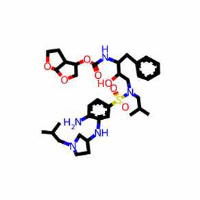 CC(C)CN1CCC(Nc2cc(S(=O)(=O)N(CC(C)C)CC(O)C(Cc3ccccc3)NC(=O)OC3COC4OCCC34)ccc2N)C1